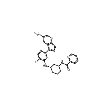 Cc1cnc2cnn(-c3ncc(F)c(NC4CCCC(NC(=O)c5ccccn5)C4)n3)c2c1